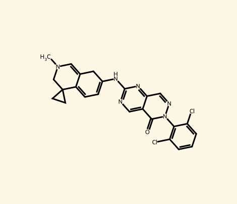 CN1C=C2CC(Nc3ncc4c(=O)n(-c5c(Cl)cccc5Cl)ncc4n3)=CC=C2C2(CC2)C1